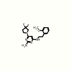 COc1ccccc1CCNc1cc(N2CCC(F)(F)C2)nc(N)n1